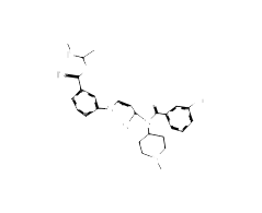 CNC(C)OC(=N)c1cccc(N/C=C\C(N)N(C(=O)c2cccc(O)c2)C2CCN(C)CC2)c1